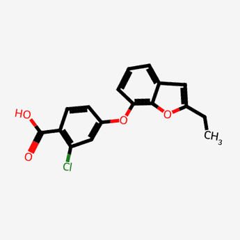 CCc1cc2cccc(Oc3ccc(C(=O)O)c(Cl)c3)c2o1